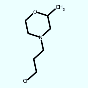 CC1CN(CCCCl)CCO1